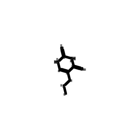 CSCc1c[nH]c(=O)[nH]c1=O